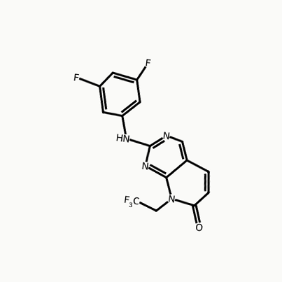 O=c1ccc2cnc(Nc3cc(F)cc(F)c3)nc2n1CC(F)(F)F